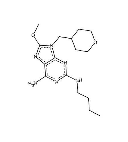 CCCCNc1nc(N)c2nc(OC)n(CC3CCOCC3)c2n1